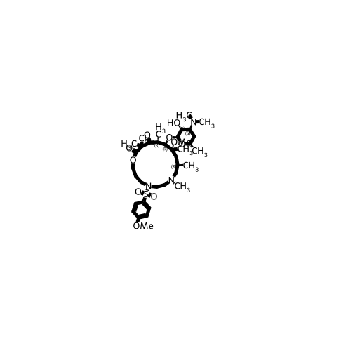 COc1ccc(S(=O)(=O)N2CCCOC(=O)C(C)(C)C(=O)[C@H](C)[C@@H](O[C@@H]3O[C@H](C)C[C@H](N(C)C)[C@H]3O)[C@](C)(OC)C[C@@H](C)CN(C)CC2)cc1